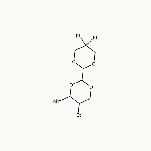 CCCC1OC(C2OCC(CC)(CC)CO2)OCC1CC